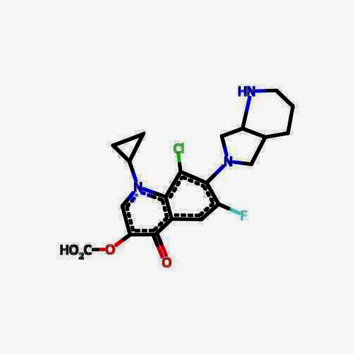 O=C(O)Oc1cn(C2CC2)c2c(Cl)c(N3CC4CCCNC4C3)c(F)cc2c1=O